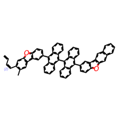 C=C/C=C\c1cc2oc3ccc(-c4c5ccccc5c(-c5c6ccccc6c(-c6ccc7oc8cc9ccccc9cc8c7c6)c6ccccc56)c5ccccc45)cc3c2cc1C